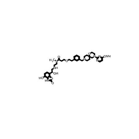 COc1ccnc(N2CCOC3(CCN(Cc4cccc(CCOCCC(=O)N(C)CCNC[C@H](O)c5ccc(O)c6[nH]c(=O)sc56)c4)CC3)C2)n1